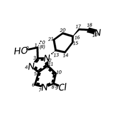 C[C@@H](O)c1nc2cnc(Cl)cc2n1[C@H]1CC[C@H](CC#N)CC1